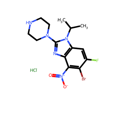 CC(C)n1c(N2CCNCC2)nc2c([N+](=O)[O-])c(Br)c(F)cc21.Cl